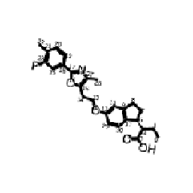 CCC(C(=O)O)[C@@H]1CCc2cc(OCCc3oc(-c4ccc(C)c(F)c4)nc3C)ccc21